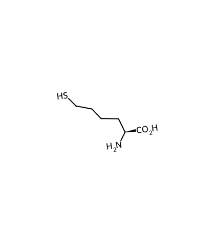 N[C@@H](CCCCS)C(=O)O